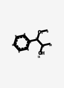 COC(c1ccccc1)C(C)O